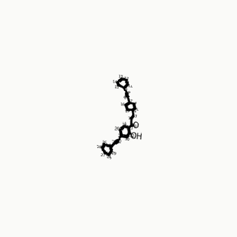 O=C(C=Cc1ccc(C#Cc2ccccc2)cc1)c1ccc(C#Cc2ccccc2)cc1O